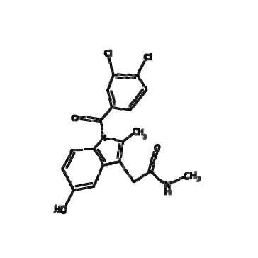 CNC(=O)Cc1c(C)n(C(=O)c2ccc(Cl)c(Cl)c2)c2ccc(O)cc12